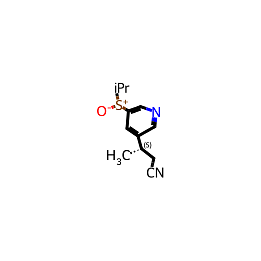 CC(C)[S+]([O-])c1cncc([C@@H](C)CC#N)c1